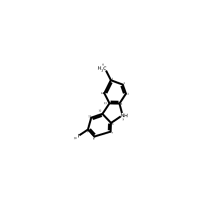 Cc1ccc2[nH]c3ccc(I)cc3c2c1